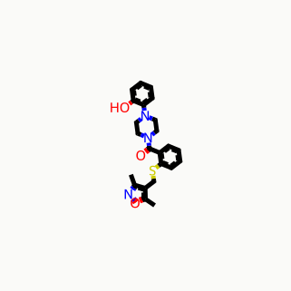 Cc1noc(C)c1CSc1ccccc1C(=O)N1CCN(c2ccccc2O)CC1